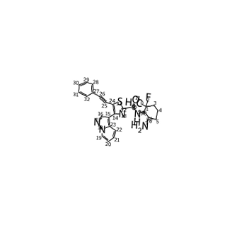 CC1(F)CCC[C@@H](N)[C@H]1NC(=O)c1nc(-c2cnn3ccccc23)c(C#Cc2ccccc2)s1